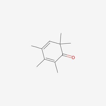 CC1=CC(C)(C)C(=O)C(C)=C1C